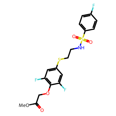 COC(=O)COc1c(F)cc(SCCNS(=O)(=O)c2ccc(F)cc2)cc1F